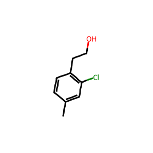 Cc1ccc(CCO)c(Cl)c1